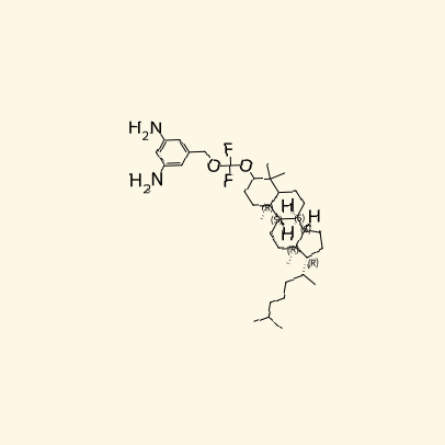 CC(C)CCCC(C)[C@H]1CC[C@H]2[C@@H]3CCC4C(C)(C)C(OC(F)(F)OCc5cc(N)cc(N)c5)CC[C@]4(C)[C@H]3CC[C@]12C